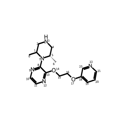 CC1CNC[C@H](C)N1c1nccnc1OCCOc1cccnc1